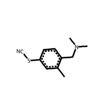 Cc1cc(SC#N)ccc1CN(C)C